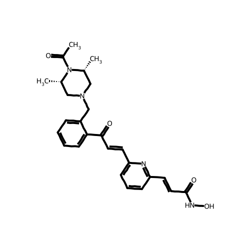 CC(=O)N1[C@H](C)CN(Cc2ccccc2C(=O)/C=C/c2cccc(/C=C/C(=O)NO)n2)C[C@@H]1C